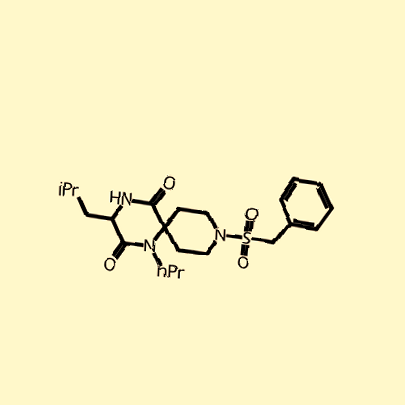 CCCN1C(=O)C(CC(C)C)NC(=O)C12CCN(S(=O)(=O)Cc1ccccc1)CC2